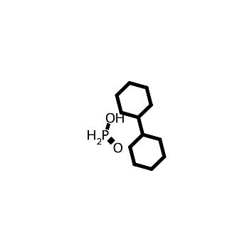 C1CCC(C2CCCCC2)CC1.O=[PH2]O